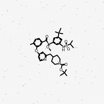 CON(C(=O)c1ccc(C)c(Oc2ccnc(CC3CCN(C(=O)OC(C)(C)C)CC3)c2)c1)c1cc(NS(=O)(=O)C(C)C)cc(C(C)(C)C)c1